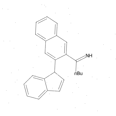 CCCCC(=N)c1cc2ccccc2cc1C1C=Cc2ccccc21